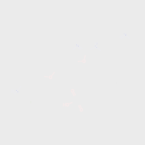 Cc1ccc(S(=O)(=O)O)cc1.NCC(=CF)COc1ccc2nc(NCc3cccnc3)oc2c1